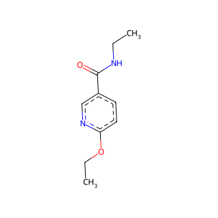 CCNC(=O)c1ccc(OCC)nc1